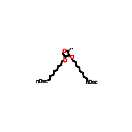 [CH2][C@H]1OC[C@H](OCCCCCCCCCCCCCCCCCC)[C@H]1OCCCCCCCCCCCCCCCCCC